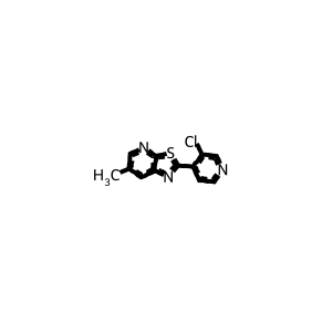 Cc1cnc2sc(-c3ccncc3Cl)nc2c1